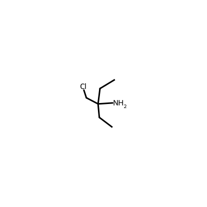 CCC(N)(CC)CCl